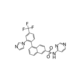 O=S(=O)(Nc1ccncn1)c1ccc2c(-c3ccc(C(F)(F)F)cc3-n3ccnc3)cccc2c1